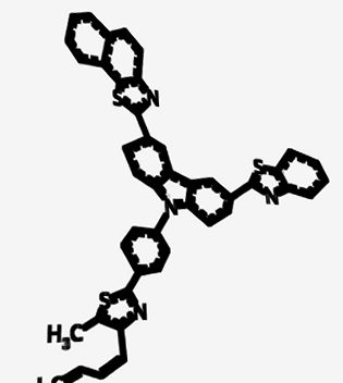 C=C/C=C\c1nc(-c2ccc(-n3c4ccc(-c5nc6ccccc6s5)cc4c4cc(-c5nc6ccc7ccccc7c6s5)ccc43)cc2)sc1C